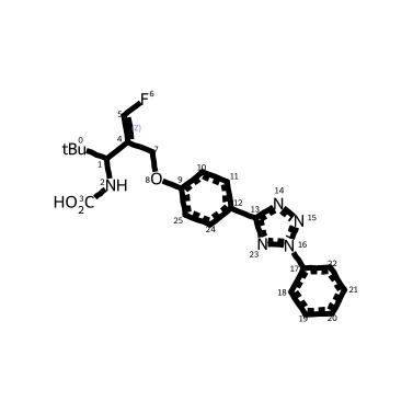 CC(C)(C)C(NC(=O)O)/C(=C/F)COc1ccc(-c2nnn(-c3ccccc3)n2)cc1